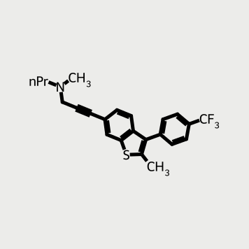 CCCN(C)CC#Cc1ccc2c(-c3ccc(C(F)(F)F)cc3)c(C)sc2c1